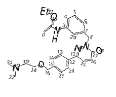 C=C(Nc1cccc(Cn2nc(-c3ccc(COCCN(C)C)cc3)ccc2=O)c1)OCC